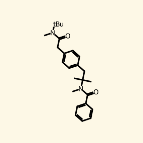 CN(C(=O)Cc1ccc(CC(C)(C)N(C)C(=O)c2ccccc2)cc1)C(C)(C)C